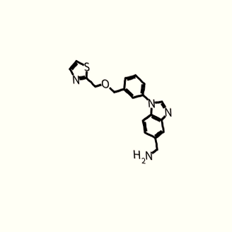 NCc1ccc2c(c1)ncn2-c1cccc(COCc2nccs2)c1